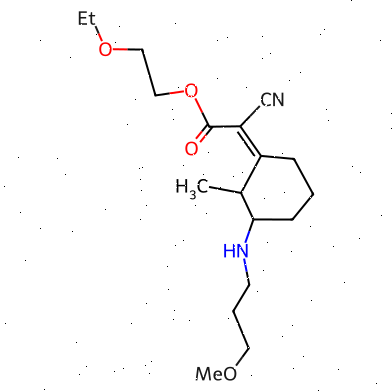 CCOCCOC(=O)/C(C#N)=C1/CCCC(NCCCOC)C1C